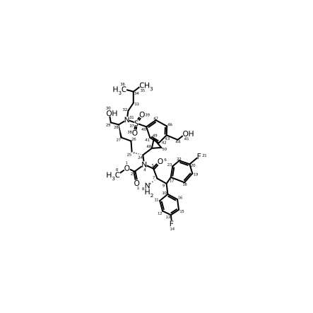 COC(=O)N(C(=O)[C@@H](N)C(c1ccc(F)cc1)c1ccc(F)cc1)[C@H](CCC[C@@H](CO)N(CCC(C)C)S(=O)(=O)c1ccc(CO)cc1)C1CC1